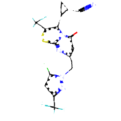 N#C[C@@H]1C[C@@H]1c1c(C(F)(F)F)sc2nc(Cn3nc(C(F)(F)F)cc3Cl)cc(=O)n12